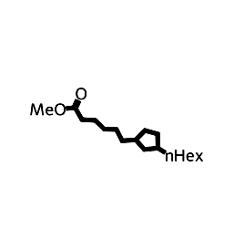 CCCCCCC1CCC(CCCCCC(=O)OC)C1